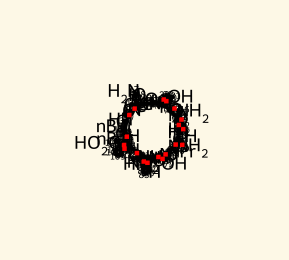 CCCC[C@@H]1C(=O)N[C@@H](CC(C)C)C(=O)N[C@H](C(=O)NCC(N)=O)CSCC(=O)N[C@@H](Cc2ccc(O)cc2)C(=O)N(C)[C@@H](C)C(=O)N[C@@H](CC(N)=O)C(=O)N2CCC[C@H]2C(=O)N[C@@H](CN)C(=O)N[C@@H](CC(C)C)C(=O)N2C[C@@H](O)C[C@H]2C(=O)N[C@@H](Cc2c[nH]c3ccccc23)C(=O)N[C@@H](CCN)C(=O)N[C@@H](Cc2cn(CC(=O)O)c3ccccc23)C(=O)N(C)[C@@H](CCCC)C(=O)N1C